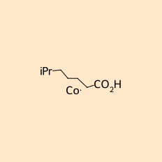 CC(C)CCCCC(=O)O.[Co]